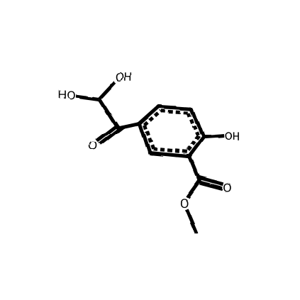 COC(=O)c1cc(C(=O)C(O)O)ccc1O